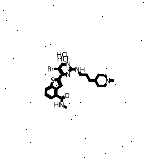 CNC(=O)c1cccc2sc(-c3nc(NCCCC4CCN(C)CC4)ncc3Br)cc12.Cl.Cl